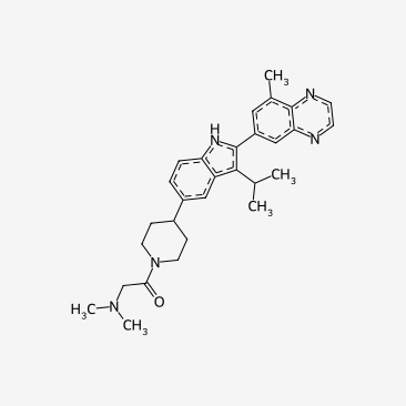 Cc1cc(-c2[nH]c3ccc(C4CCN(C(=O)CN(C)C)CC4)cc3c2C(C)C)cc2nccnc12